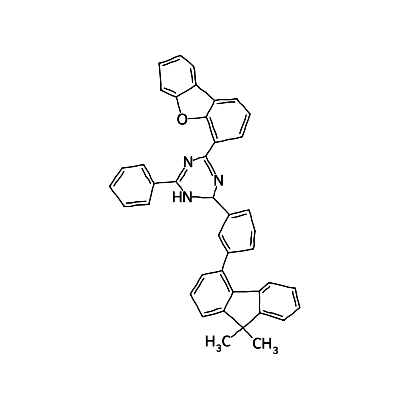 CC1(C)c2ccccc2-c2c(-c3cccc(C4N=C(c5cccc6c5oc5ccccc56)N=C(c5ccccc5)N4)c3)cccc21